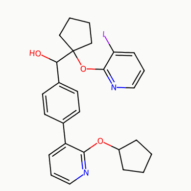 OC(c1ccc(-c2cccnc2OC2CCCC2)cc1)C1(Oc2ncccc2I)CCCC1